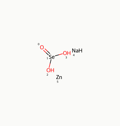 O=[Se](O)O.[NaH].[Zn]